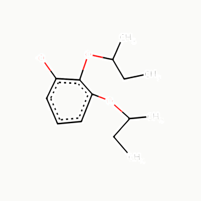 CCC(C)Oc1cccc([O])c1OC(C)CC